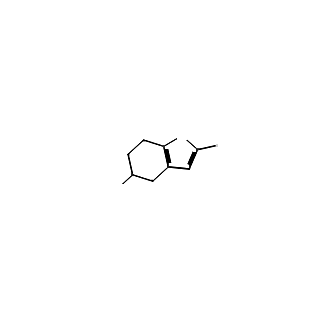 CC1CCc2sc(C(C)C)cc2C1